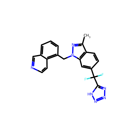 Cc1nn(Cc2cccc3cnccc23)c2cc(C(F)(F)c3nnn[nH]3)ccc12